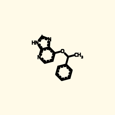 CC(Oc1ccnc2[nH][c]nc12)c1ccccc1